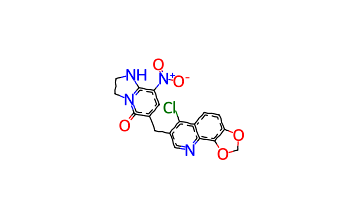 O=c1c(Cc2cnc3c4c(ccc3c2Cl)OCO4)cc([N+](=O)[O-])c2n1CCN2